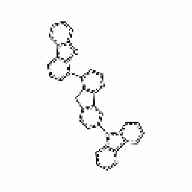 c1cc2c(c(-c3cccc4c3oc3ccccc34)c1)Cc1ccc(-n3c4ccccc4c4ccccc43)cc1-2